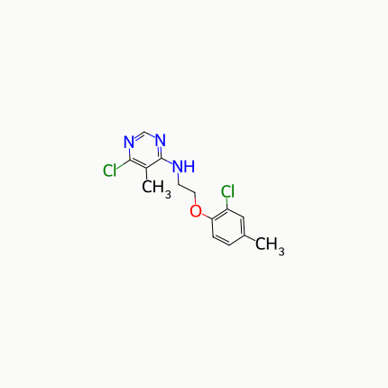 Cc1ccc(OCCNc2ncnc(Cl)c2C)c(Cl)c1